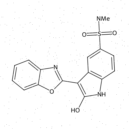 CNS(=O)(=O)c1ccc2[nH]c(O)c(-c3nc4ccccc4o3)c2c1